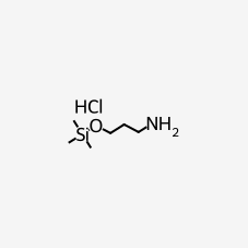 C[Si](C)(C)OCCCN.Cl